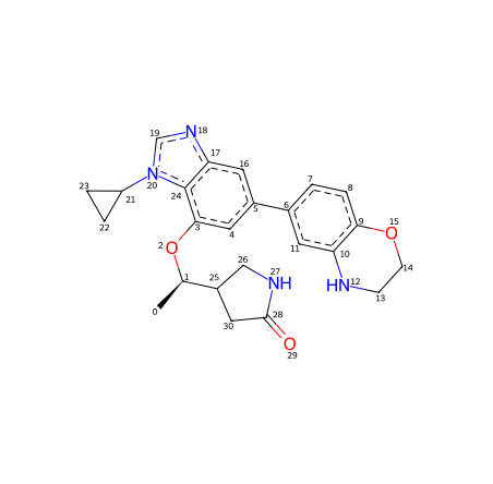 C[C@@H](Oc1cc(-c2ccc3c(c2)NCCO3)cc2ncn(C3CC3)c12)C1CNC(=O)C1